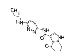 CCCNc1ccc(NC(=O)c2c[nH]c3c2C(=O)CCC3)nn1